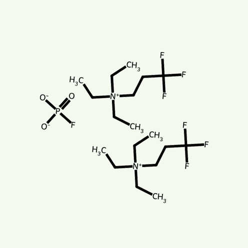 CC[N+](CC)(CC)CCC(F)(F)F.CC[N+](CC)(CC)CCC(F)(F)F.O=P([O-])([O-])F